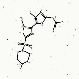 CC(=O)Nc1nc(C)c(-c2cc(S(=O)(=O)N3CCN(C)CC3)sc2Cl)s1